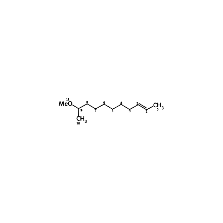 C/C=C/CCCCCCC(C)OC